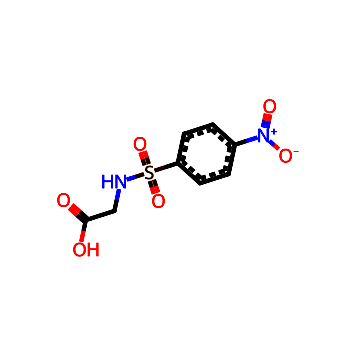 O=C(O)CNS(=O)(=O)c1ccc([N+](=O)[O-])cc1